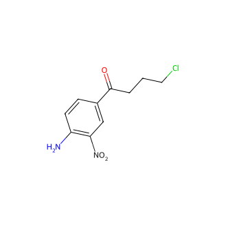 Nc1ccc(C(=O)CCCCl)cc1[N+](=O)[O-]